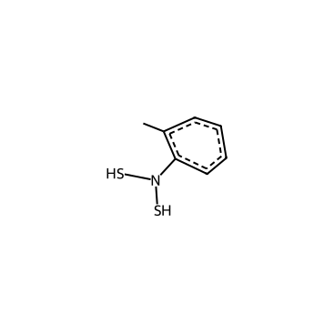 Cc1ccccc1N(S)S